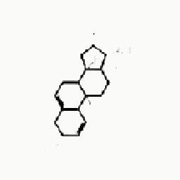 C[C@]12CC[C@H]3[C@@H](CC=C4C[C@@H](O)C=C[C@@]43C)[C@@H]1C[C@H](O)[C@@H]2N